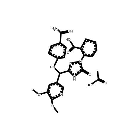 CC(=O)O.COc1cc(C(Nc2ccc(C(=N)N)cc2)c2nn(-c3ccccc3C(=O)O)c(=O)[nH]2)cnc1OC